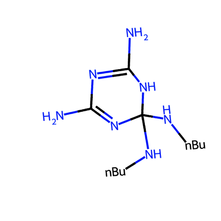 CCCCNC1(NCCCC)N=C(N)N=C(N)N1